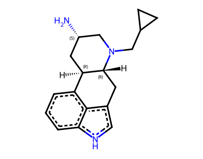 N[C@H]1C[C@@H]2c3cccc4[nH]cc(c34)C[C@H]2N(CC2CC2)C1